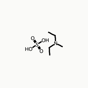 CCN(C)CC.O=S(=O)(O)O